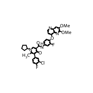 COc1cc2nccc(Oc3ccc(NC(=O)c4cn(C5CCCC5)c(C)c(-c5ccc(F)c(Cl)c5)c4=O)cc3F)c2nc1OC